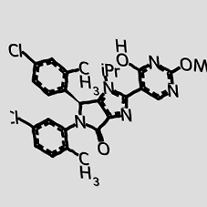 COc1ncc(-c2nc3c(n2C(C)C)[C@H](c2ccc(Cl)cc2C)N(c2cc(Cl)ccc2C)C3=O)c(O)n1